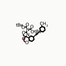 Cc1cccc(C#Cc2ccc3c(c2)C2(COC(N(C(=O)OC(C)(C)C)C(=O)OC(C)(C)C)=N2)C2(COC2)CO3)c1